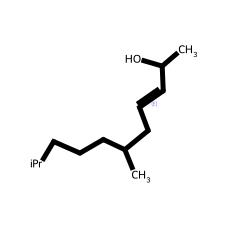 CC(O)/C=C/CC(C)CCCC(C)C